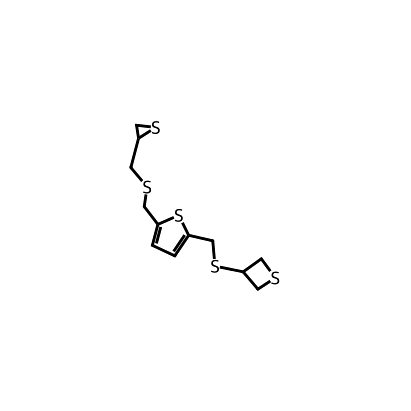 c1cc(CSC2CSC2)sc1CSCC1CS1